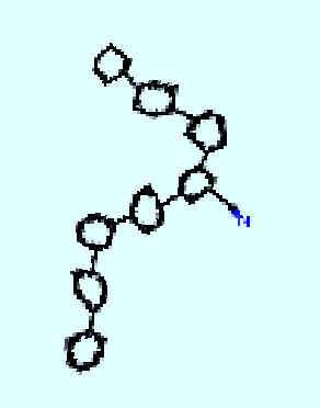 N#Cc1cc(-c2ccc(-c3cccc(-c4ccc(-c5ccccc5)cc4)c3)cc2)cc(-c2cccc(-c3ccc(C4=CCCC=C4)cc3)c2)c1